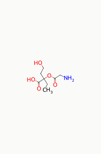 CCC(CCO)(OC(=O)CN)C(=O)O